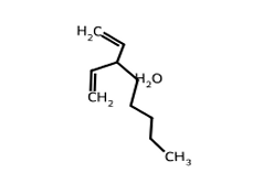 C=CC(C=C)CCCCC.O